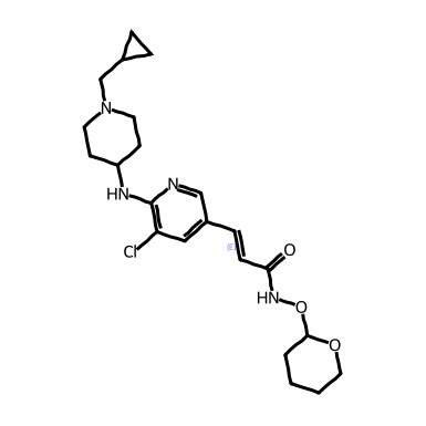 O=C(/C=C/c1cnc(NC2CCN(CC3CC3)CC2)c(Cl)c1)NOC1CCCCO1